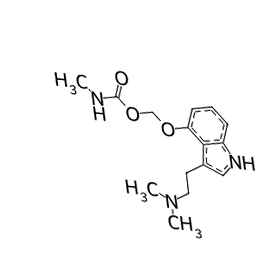 CNC(=O)OCOc1cccc2[nH]cc(CCN(C)C)c12